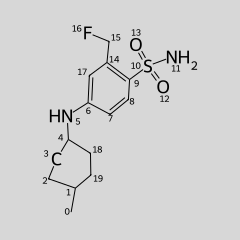 CC1CCC(Nc2ccc(S(N)(=O)=O)c(CF)c2)CC1